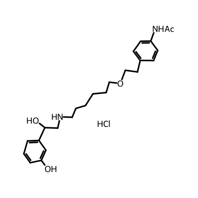 CC(=O)Nc1ccc(CCOCCCCCCNCC(O)c2cccc(O)c2)cc1.Cl